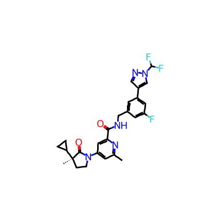 Cc1cc(N2CC[C@@](C)(C3CC3)C2=O)cc(C(=O)NCc2cc(F)cc(-c3cnn(C(F)F)c3)c2)n1